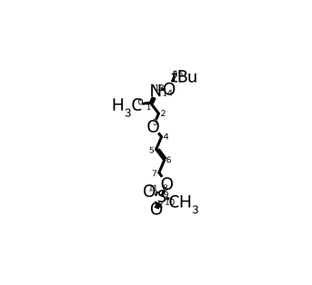 CC(COCC=CCOS(C)(=O)=O)=NOC(C)(C)C